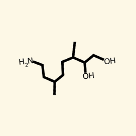 CC(CCN)CCC(C)C(O)CO